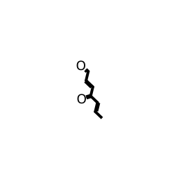 CC=CC(=O)C=CC=O